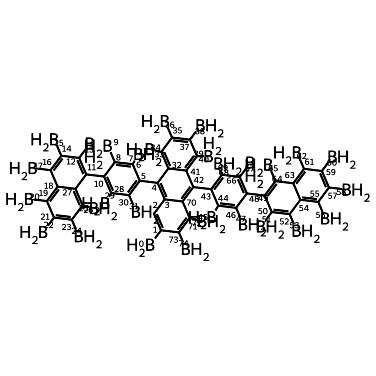 Bc1cc2c(-c3c(B)c(B)c(-c4c(B)c(B)c(B)c5c(B)c(B)c(B)c(B)c45)c(B)c3B)c3c(B)c(B)c(B)c(B)c3c(-c3c(B)c(B)c(-c4c(B)c(B)c5c(B)c(B)c(B)c(B)c5c4B)c(B)c3B)c2c(B)c1B